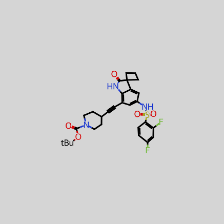 CC(C)(C)OC(=O)N1CCC(C#Cc2cc(NS(=O)(=O)c3ccc(F)cc3F)cc3c2NC(=O)C32CCC2)CC1